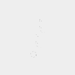 O=C(Cc1ccc(Cl)c(Cl)c1)N1CCN(CC(=O)N2CCN(C3CCC3)CC2)CC1